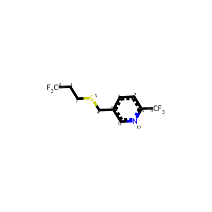 FC(F)(F)CCSCc1ccc(C(F)(F)F)nc1